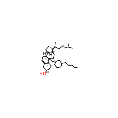 CCCCC[C@H]1CC[C@H](C2C[C@H](O)CC3=CC[C@H]4[C@@H]5CC[C@H]([C@H](C)CCCC(C)C)[C@@]5(C)CC[C@@H]4[C@]32C)CC1